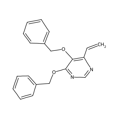 C=Cc1ncnc(OCc2ccccc2)c1OCc1ccccc1